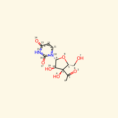 CC(=O)[C@@]1(O)[C@@H](CO)O[C@@H](n2ccc(=O)[nH]c2=O)[C@@H]1O